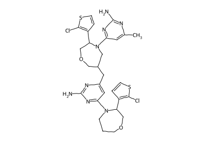 Cc1cc(N2CC(Cc3cc(N4CCCOCC4c4ccsc4Cl)nc(N)n3)COCC2c2ccsc2Cl)nc(N)n1